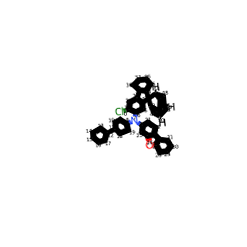 Clc1cc2c(cc1N(c1ccc(-c3ccccc3)cc1)c1ccc3c(c1)oc1ccccc13)C1(c3ccccc3-2)C2C[C@H]3C[C@@H](C2)C[C@@H]1C3